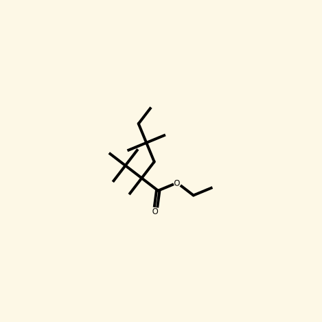 CCOC(=O)C(C)(CC(C)(C)CC)C(C)(C)C